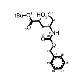 CC(C)(C)OC(=O)CC[C@@H](CC(=O)O)NC(=O)OCc1ccccc1